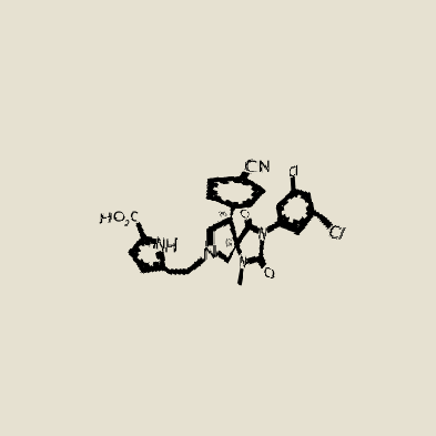 CN1C(=O)N(c2cc(Cl)cc(Cl)c2)C(=O)[C@]12CN(Cc1ccc(C(=O)O)[nH]1)C[C@H]2c1ccc(C#N)cc1